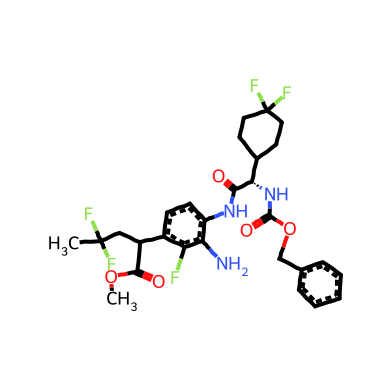 COC(=O)C(CC(C)(F)F)c1ccc(NC(=O)[C@@H](NC(=O)OCc2ccccc2)C2CCC(F)(F)CC2)c(N)c1F